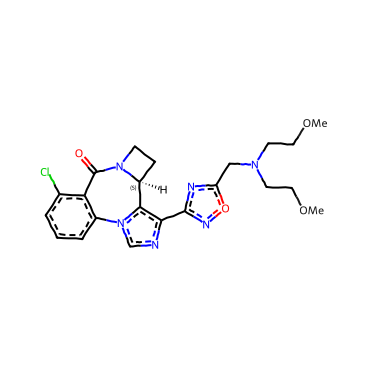 COCCN(CCOC)Cc1nc(-c2ncn3c2[C@@H]2CCN2C(=O)c2c(Cl)cccc2-3)no1